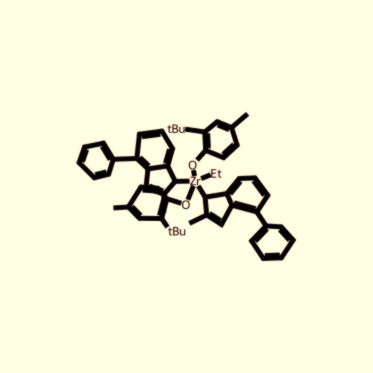 C[CH2][Zr]([O]c1ccc(C)cc1C(C)(C)C)([O]c1ccc(C)cc1C(C)(C)C)([CH]1C(C)=Cc2c(-c3ccccc3)cccc21)[CH]1C(C)=Cc2c(-c3ccccc3)cccc21